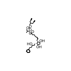 C#CCC(CC#C)COC(=O)OC(OC(=O)CCC/C=C\C[C@@H]1[C@@H](CC[C@@H](O)CCc2ccccc2)[C@H](O)C[C@@H]1O)C(C)C